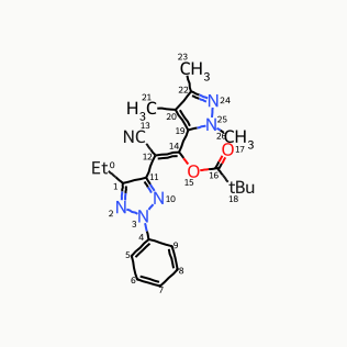 CCc1nn(-c2ccccc2)nc1/C(C#N)=C(\OC(=O)C(C)(C)C)c1c(C)c(C)nn1C